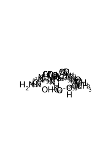 Cn1c(-c2cn(-c3ccc(N)cn3)nc2C(F)(F)F)cnc1C(=O)Nc1ccc(C(=O)N2CCN(C(=O)C3CC(O)CC[N+]3(C)C)CC2)c(Cl)c1.O=C[O-]